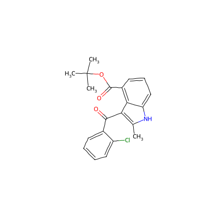 Cc1[nH]c2cccc(C(=O)OC(C)(C)C)c2c1C(=O)c1ccccc1Cl